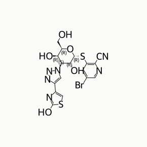 N#Cc1ncc(Br)cc1S[C@H]1O[C@H](CO)[C@H](O)[C@H](n2cc(-c3csc(O)n3)nn2)[C@H]1O